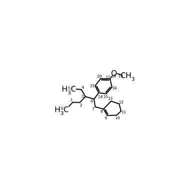 CCCC(CC)C(CC1=CCCCC1)c1ccc(OC)cc1